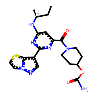 CC[C@H](C)Nc1cc(C(=O)N2CCC(OC(N)=O)CC2)nc(-c2cnn3ccsc23)n1